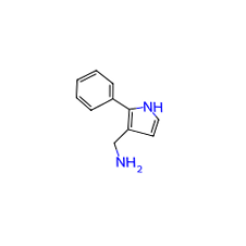 NCc1cc[nH]c1-c1ccccc1